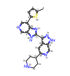 Cc1ccc(-c2cncc3[nH]c(-c4n[nH]c5cnc(C6CCNCC6)cc45)nc23)s1